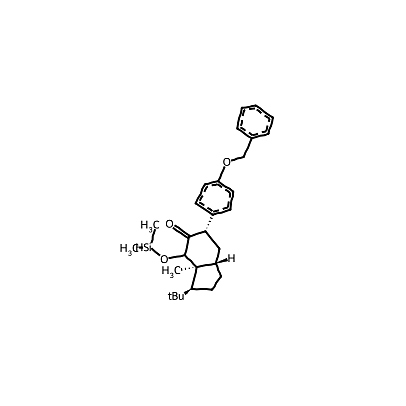 C[SiH](C)OC1C(=O)[C@H](c2ccc(OCc3ccccc3)cc2)C[C@@H]2CC[C@@H](C(C)(C)C)[C@@]12C